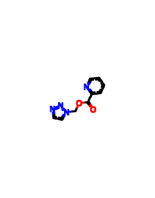 O=C(OCn1ccnn1)c1ccccn1